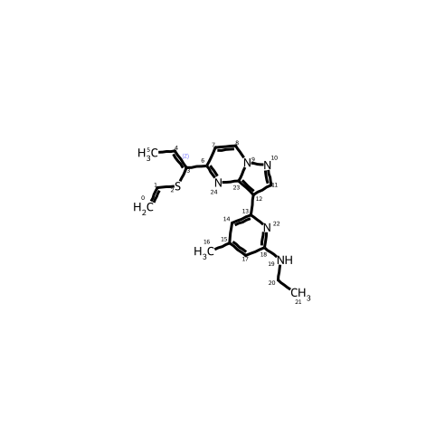 C=CS/C(=C\C)c1ccn2ncc(-c3cc(C)cc(NCC)n3)c2n1